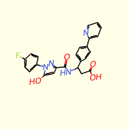 O=C(O)CC(NC(=O)c1cc(O)n(-c2ccc(F)cc2)n1)c1ccc(-c2ccccn2)cc1